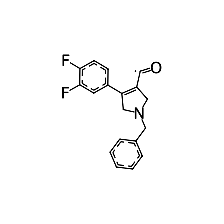 O=[C]C1=C(c2ccc(F)c(F)c2)CN(Cc2ccccc2)C1